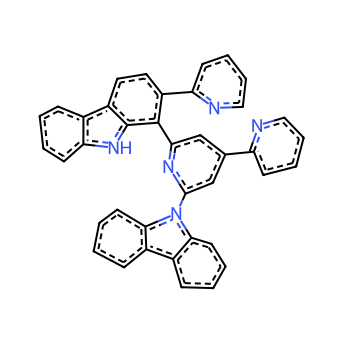 c1ccc(-c2cc(-c3c(-c4ccccn4)ccc4c3[nH]c3ccccc34)nc(-n3c4ccccc4c4ccccc43)c2)nc1